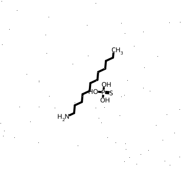 CCCCCCCCCCCCN.OP(O)(O)=S